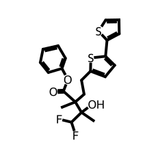 CC(CCc1ccc(-c2cccs2)s1)(C(=O)Oc1ccccc1)C(C)(O)C(F)F